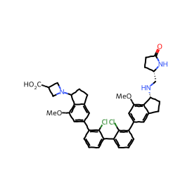 COc1cc(-c2cccc(-c3cccc(-c4cc5c(c(OC)c4)[C@H](NC[C@@H]4CCC(=O)N4)CC5)c3Cl)c2Cl)cc2c1C(N1CC(C(=O)O)C1)CC2